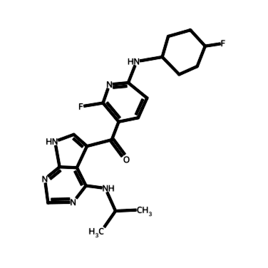 CC(C)Nc1ncnc2[nH]cc(C(=O)c3ccc(NC4CCC(F)CC4)nc3F)c12